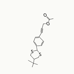 CC(=O)OCC#Cc1ccc(C2SCC(C(C)(C)C)CS2)cc1